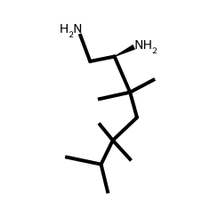 CC(C)C(C)(C)CC(C)(C)[C@H](N)CN